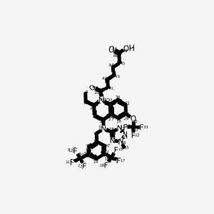 CCC1CC(N(Cc2cc(C(F)(F)F)cc(C(F)(F)F)c2)c2nnn(C)n2)c2cc(OC(F)(F)F)ccc2N1C(=O)CCCCCC(=O)O